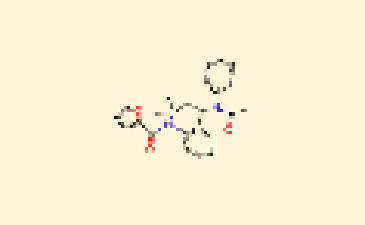 CC(=O)N(c1ccccc1)C1CC(C)(C)N(C(=O)c2ccco2)c2ccccc21